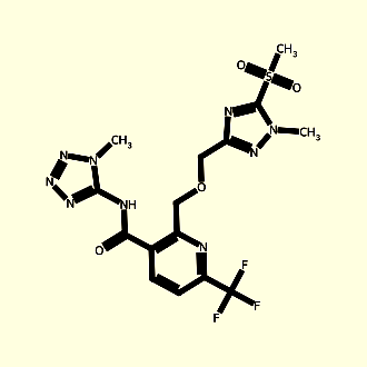 Cn1nnnc1NC(=O)c1ccc(C(F)(F)F)nc1COCc1nc(S(C)(=O)=O)n(C)n1